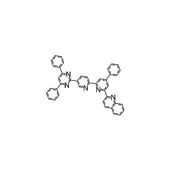 c1ccc(-c2cc(-c3ccc(-c4nc(-c5ccccc5)cc(-c5ccccc5)n4)cn3)nc(-c3ccc4ccccc4n3)c2)cc1